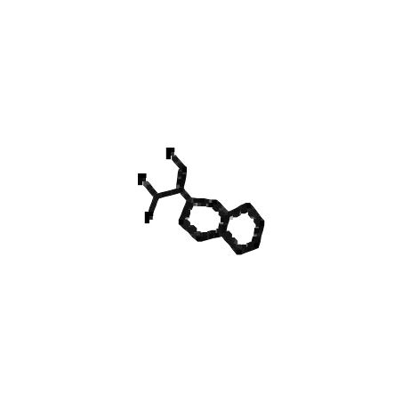 FC=C(c1ccc2ccccc2c1)C(F)F